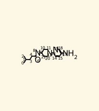 CC(C)CCC(=O)N(C)C1CCN(c2ccc(N)cn2)CC1